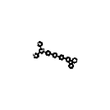 c1cncc(-c2cc(-c3ccc(-c4ccc(-c5ccc(-c6ccc7c(c6)-c6ccccc6C76CCCCC6)cc5)cc4)cc3)nc(-c3cccnc3)c2)c1